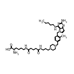 CCCCCNc1nc(N)nc2ccn(Cc3ccc(CN4CCN(CCCNC(=O)CCCC(=O)NCCCC[C@H](N)C(=O)O)CC4)cc3C)c12